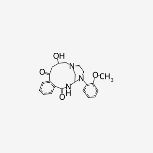 COc1ccccc1N1CC[N@]2CC(O)CC(=O)c3ccccc3C(=O)NC1C2